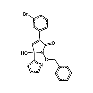 O=C1C(c2cccc(Br)c2)=CC(O)(c2nccs2)N1OCc1ccccc1